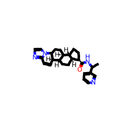 CC(NC(=O)[C@@H]1CC[C@H]2[C@@H]3CCC4[C@H](C=Cc5nccn54)[C@H]3CC[C@@H]21)c1cccnc1